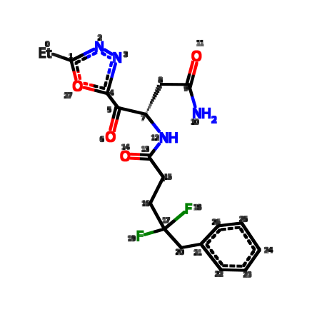 CCc1nnc(C(=O)[C@H](CC(N)=O)NC(=O)[CH]CC(F)(F)Cc2ccccc2)o1